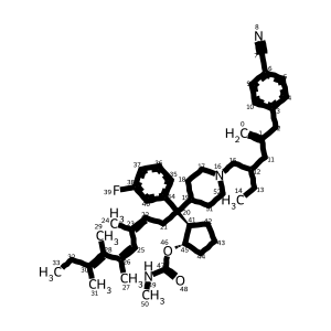 C=C(Cc1ccc(C#N)cc1)CC(CC)CN1CCC(C(C\C=C(C)/C=C(C)\C(C)=C(/C)CC)(c2cccc(F)c2)[C@H]2CCC[C@@H]2OC(=O)NC)CC1